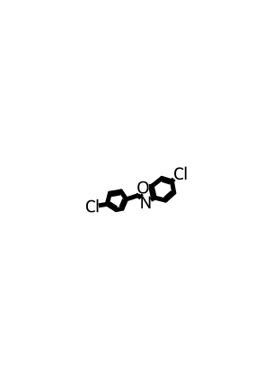 Clc1ccc(-c2nc3ccc(Cl)cc3o2)cc1